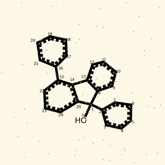 OC1(c2ccccc2)c2ccccc2-c2c(-c3ccccc3)cccc21